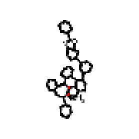 C=C1CC(c2ccccc2-c2c(-c3cccc(-c4ccc5nc(-c6ccccc6)oc5c4)c3)ccc3ccccc23)=c2ccccc2=CC1c1ccccc1